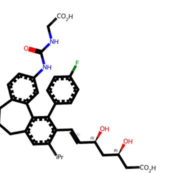 CC(C)c1cc2c(c(-c3ccc(F)cc3)c1/C=C/[C@@H](O)C[C@@H](O)CC(=O)O)-c1cc(NC(=O)NCC(=O)O)ccc1CCC2